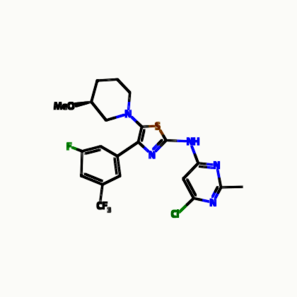 CO[C@H]1CCCN(c2sc(Nc3cc(Cl)nc(C)n3)nc2-c2cc(F)cc(C(F)(F)F)c2)C1